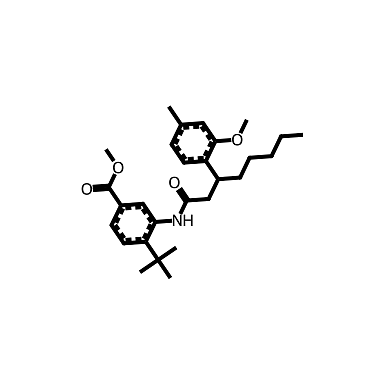 CCCCCC(CC(=O)Nc1cc(C(=O)OC)ccc1C(C)(C)C)c1ccc(C)cc1OC